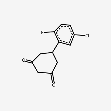 O=C1CC(=O)CC(c2cc(Cl)ccc2F)C1